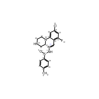 Cc1ccc([S+]([O-])N/N=C/c2c(F)cc(Cl)cc2N2CCNCC2)cc1